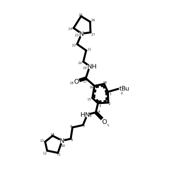 CC(C)(C)c1cc(C(=O)NCCCN2CCCC2)cc(C(=O)NCCCN2CCCC2)c1